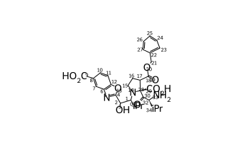 CC(C)C(C(O)c1nc2cc(C(=O)O)ccc2o1)N1CCC(C(=O)OCc2ccccc2)[C@]1(C(=O)O)C(=O)[C@@H](N)C(C)C